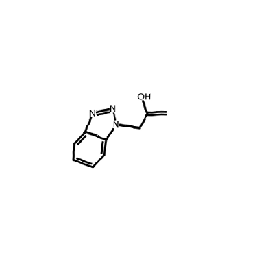 C=C(O)Cn1nnc2ccccc21